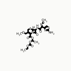 CCOC(=O)OC(C)OC(=O)C1=C(COC)CS[C@H]2C(NC(=O)C(=NOC)c3csc(N)n3)C(=O)N12